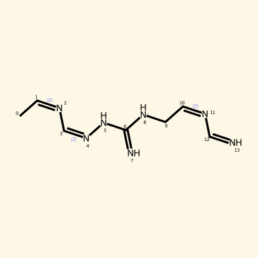 C/C=N\C=N/NC(=N)NC/C=N\C=N